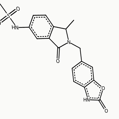 CC1c2ccc(NS(C)(=O)=O)cc2C(=O)N1Cc1ccc2[nH]c(=O)oc2c1